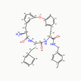 Cc1ccc(CNC(=O)[C@@H]2Cc3cccc(c3)Oc3cccc(c3)C[C@H](N)C(=O)N[C@@H](CCc3ccccc3)C(=O)N2)cc1